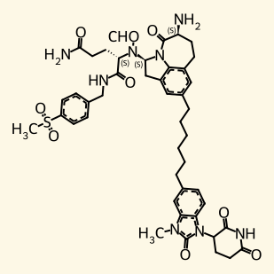 Cn1c(=O)n(C2CCC(=O)NC2=O)c2ccc(CCCCCCc3cc4c5c(c3)C[C@@H](N(C=O)[C@@H](CCC(N)=O)C(=O)NCc3ccc(S(C)(=O)=O)cc3)N5C(=O)[C@@H](N)CC4)cc21